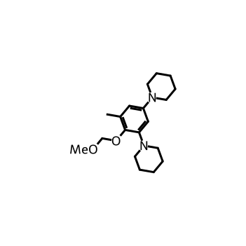 COCOc1c(C)cc(N2CCCCC2)cc1N1CCCCC1